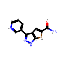 NC(=O)c1cc2c(-c3cccnc3)n[nH]c2s1